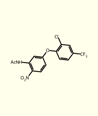 CC(=O)Nc1cc(Oc2ccc(C(F)(F)F)cc2Cl)ccc1[N+](=O)[O-]